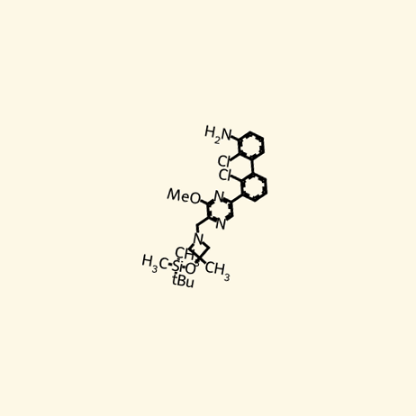 COc1nc(-c2cccc(-c3cccc(N)c3Cl)c2Cl)cnc1CN1CC(C)(O[Si](C)(C)C(C)(C)C)C1